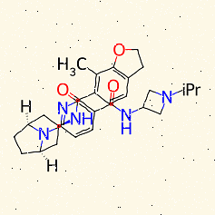 Cc1c(C(=O)N[C@H]2C[C@H]3CC[C@@H](C2)N3c2ccc(C(=O)NC3CN(C(C)C)C3)cn2)ccc2c1OCC2